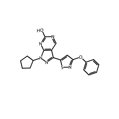 Oc1ncc2c(-c3cc(Oc4ccccc4)ns3)nn(C3CCCC3)c2n1